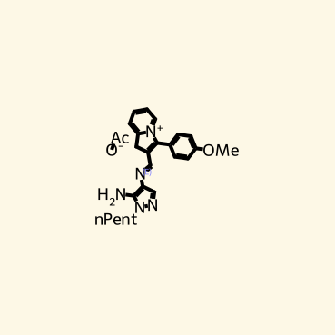 CC(=O)[O-].CCCCCn1ncc(/N=C/C2=C(c3ccc(OC)cc3)[n+]3ccccc3C2)c1N